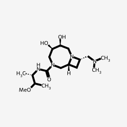 COC(C)[C@H](C)NC(=O)N1C[C@H]2C[C@@H](CN(C)C)N2C[C@H](O)[C@H](O)C1